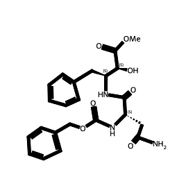 COC(=O)[C@@H](O)[C@H](Cc1ccccc1)NC(=O)[C@H](CC(N)=O)NC(=O)OCc1ccccc1